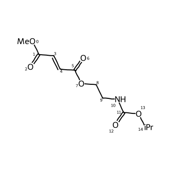 COC(=O)/C=C/C(=O)OCCNC(=O)OC(C)C